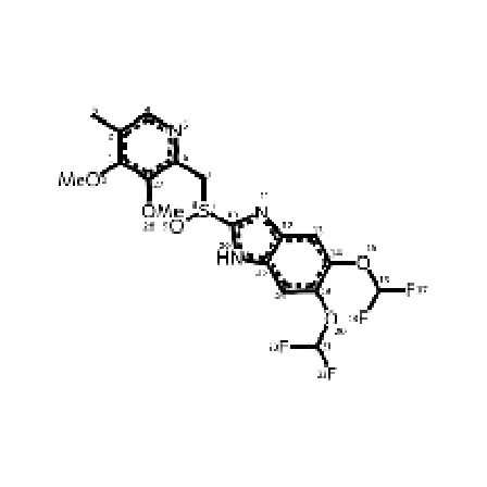 COc1c(C)cnc(C[S+]([O-])c2nc3cc(OC(F)F)c(OC(F)F)cc3[nH]2)c1OC